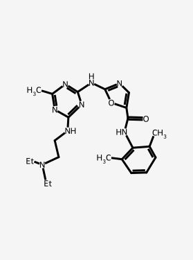 CCN(CC)CCNc1nc(C)nc(Nc2ncc(C(=O)Nc3c(C)cccc3C)o2)n1